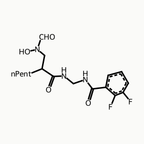 CCCCCC(CN(O)C=O)C(=O)NCNC(=O)c1cccc(F)c1F